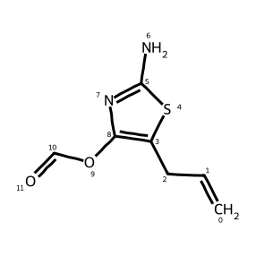 C=CCc1sc(N)nc1OC=O